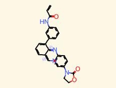 C=CC(=O)Nc1cccc(C2=CC=CC(=C/N=C)/C2=N\c2ccc(N3CCOC3=O)cc2)c1